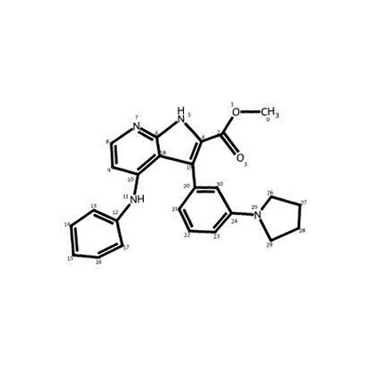 COC(=O)c1[nH]c2nccc(Nc3ccccc3)c2c1-c1cccc(N2CCCC2)c1